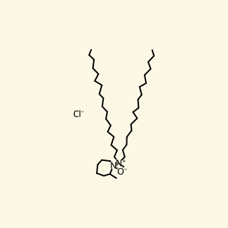 CCCCCCCCCCCCCCCCCC[N+](C)(CCCCCCCCCCCCCCCCCC)[N+]1([O-])CCCCCC1C.[Cl-]